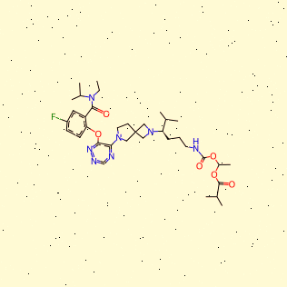 CCN(C(=O)c1cc(F)ccc1Oc1nncnc1N1CCC2(C1)CN([C@H](CCCNC(=O)OC(C)OC(=O)C(C)C)C(C)C)C2)C(C)C